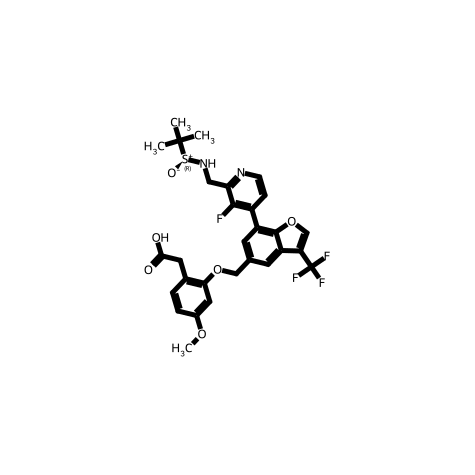 COc1ccc(CC(=O)O)c(OCc2cc(-c3ccnc(CN[S@@+]([O-])C(C)(C)C)c3F)c3occ(C(F)(F)F)c3c2)c1